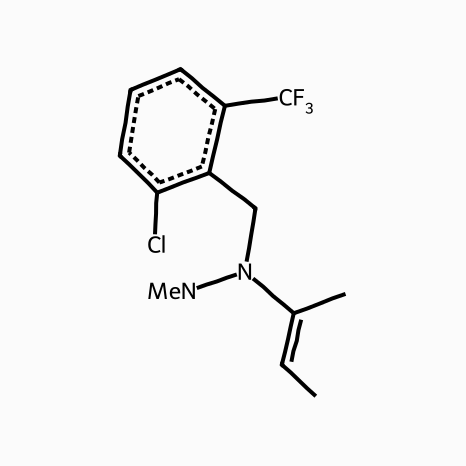 C/C=C(\C)N(Cc1c(Cl)cccc1C(F)(F)F)NC